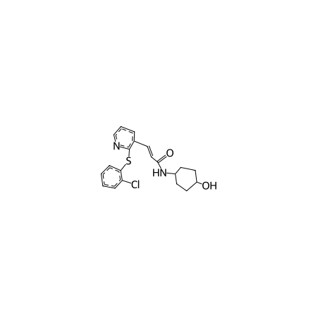 O=C(C=Cc1cccnc1Sc1ccccc1Cl)NC1CCC(O)CC1